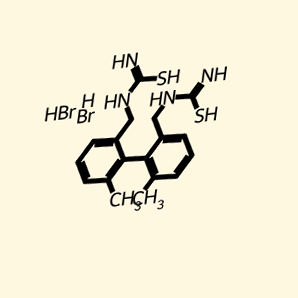 Br.Br.Cc1cccc(CNC(=N)S)c1-c1c(C)cccc1CNC(=N)S